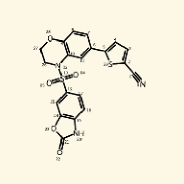 N#Cc1ccc(-c2ccc3c(c2)N(S(=O)(=O)c2ccc4[nH]c(=O)oc4c2)CCO3)s1